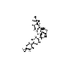 COc1ccc(N2CCN(c3cnc(C)c(Nc4cc(C(C)(C)C)ccc4C)n3)CC2)cc1